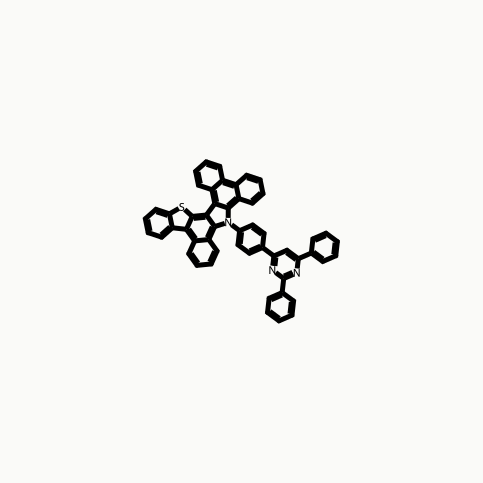 c1ccc(-c2cc(-c3ccc(-n4c5c6ccccc6c6ccccc6c5c5c6sc7ccccc7c6c6ccccc6c54)cc3)nc(-c3ccccc3)n2)cc1